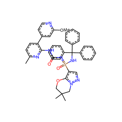 COc1cc(-c2ccc(C)nc2NC(=O)N=S(=O)(NC(c2ccccc2)(c2ccccc2)c2ccccc2)c2cnn3c2OCC(C)(C)C3)ccn1